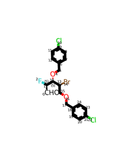 O=C[C@@H](F)[C@H](OCc1ccc(Cl)cc1)[C@@H](Br)COCc1ccc(Cl)cc1